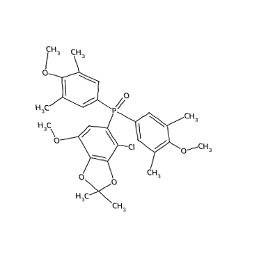 COc1cc(P(=O)(c2cc(C)c(OC)c(C)c2)c2cc(C)c(OC)c(C)c2)c(Cl)c2c1OC(C)(C)O2